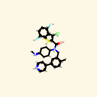 CN=C1CCC(N(Cc2cc(-c3ccncc3)ccc2C)C(=O)c2sc3c(F)ccc(F)c3c2Cl)CC1